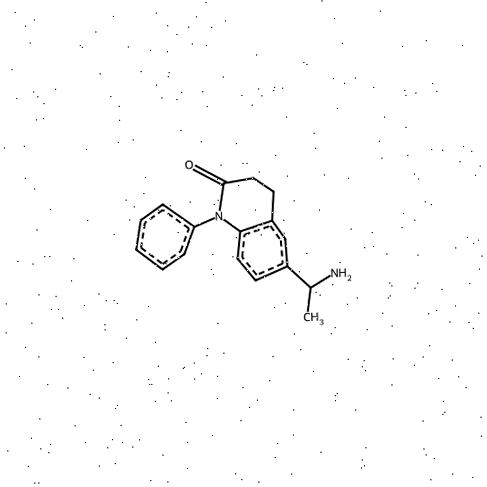 CC(N)c1ccc2c(c1)CCC(=O)N2c1ccccc1